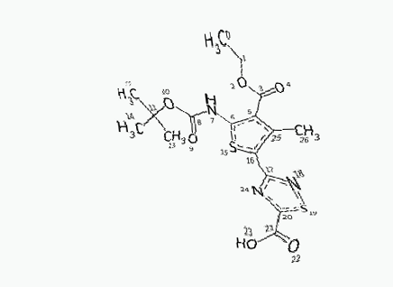 CCOC(=O)c1c(NC(=O)OC(C)(C)C)sc(-c2nsc(C(=O)O)n2)c1C